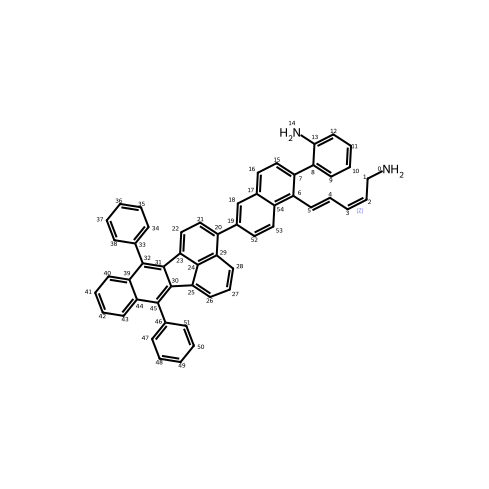 NC/C=C\C=Cc1c(-c2ccccc2N)ccc2cc(-c3ccc4c5c(cccc35)-c3c-4c(-c4ccccc4)c4ccccc4c3-c3ccccc3)ccc12